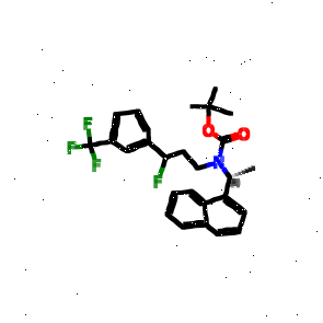 C[C@H](c1cccc2ccccc12)N(CCC(F)c1cccc(C(F)(F)F)c1)C(=O)OC(C)(C)C